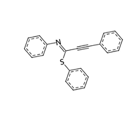 C(#Cc1ccccc1)C(=Nc1ccccc1)Sc1ccccc1